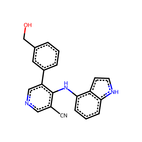 N#Cc1cncc(-c2cccc(CO)c2)c1Nc1cccc2[nH]ccc12